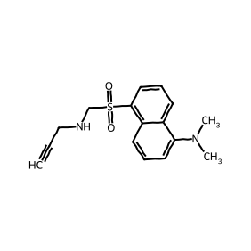 C#CCNCS(=O)(=O)c1cccc2c(N(C)C)cccc12